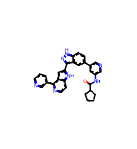 O=C(Nc1cncc(-c2ccc3[nH]nc(-c4cc5c(-c6cccnc6)nccc5[nH]4)c3c2)c1)C1CCCC1